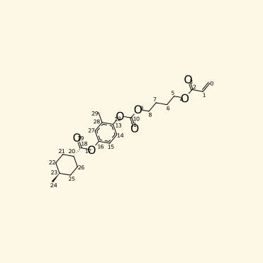 C=CC(=O)OCCCCOC(=O)Oc1ccc(OC(=O)[C@H]2CC[C@H](C)CC2)cc1C